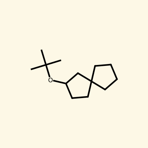 CC(C)(C)OC1CCC2(CCCC2)C1